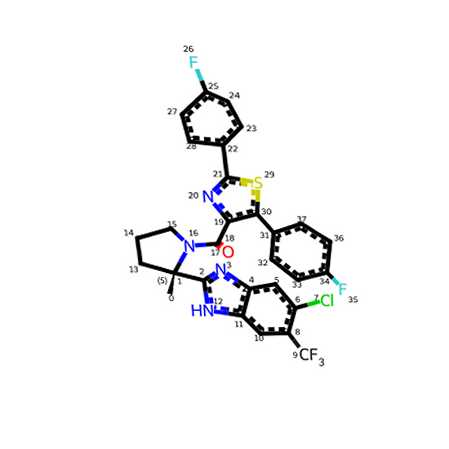 C[C@@]1(c2nc3cc(Cl)c(C(F)(F)F)cc3[nH]2)CCCN1C(=O)c1nc(-c2ccc(F)cc2)sc1-c1ccc(F)cc1